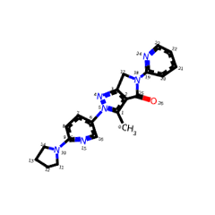 Cc1c2c(nn1-c1ccc(N3CCCC3)nc1)CN(c1ccccn1)C2=O